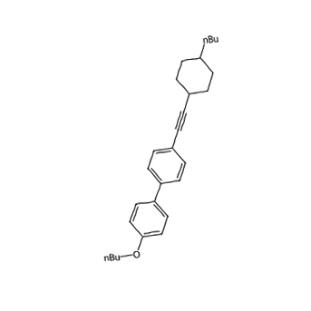 CCCCOc1ccc(-c2ccc(C#CC3CCC(CCCC)CC3)cc2)cc1